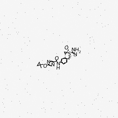 C/N=C(/N)S[C@@]1(COC)C[C@H]1c1cc(NC(=O)c2cnc(OCC3(C)CC3)cn2)ccc1F